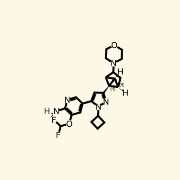 Nc1ncc(-c2cc([C@]34C5C(N6CCOCC6)C[C@@H]3[C@H]54)nn2C2CCC2)cc1OC(F)F